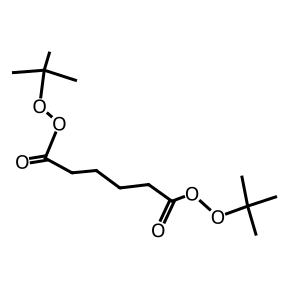 CC(C)(C)OOC(=O)CCCCC(=O)OOC(C)(C)C